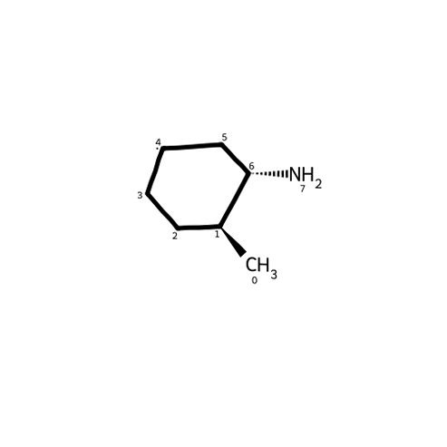 C[C@H]1CC[CH]C[C@@H]1N